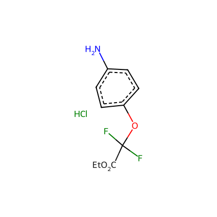 CCOC(=O)C(F)(F)Oc1ccc(N)cc1.Cl